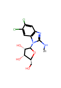 CC(C)Nc1nc2cc(Cl)c(Cl)cc2n1[C@H]1O[C@H](CO)[C@H](O)[C@@H]1O